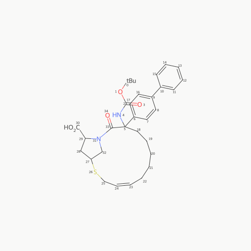 CC(C)(C)OC(=O)NC1(c2ccc(-c3ccccc3)cc2)CCCCCC=CCSC2CC(C(=O)O)N(C2)C1=O